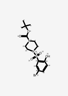 CC(C)(C)OC(=O)N1CCN(S(=O)(=O)c2cc(Br)ccc2O)CC1